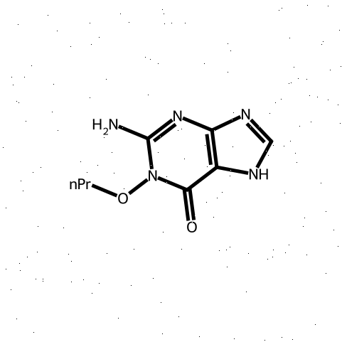 CCCOn1c(N)nc2nc[nH]c2c1=O